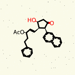 CC(=O)O[C@H](/C=C/[C@H]1[C@H](O)CC(=O)[C@H]1c1ccc2ccccc2c1)CCc1ccccc1